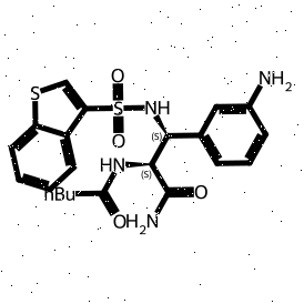 CCCCC(=O)N[C@H](C(N)=O)[C@@H](NS(=O)(=O)c1csc2ccccc12)c1cccc(N)c1